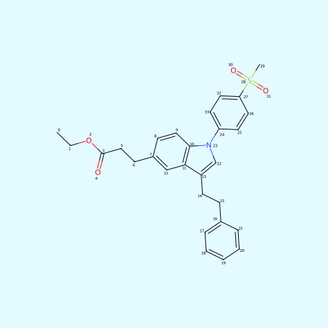 CCOC(=O)CCc1ccc2c(c1)c(CCc1ccccc1)cn2-c1ccc(S(C)(=O)=O)cc1